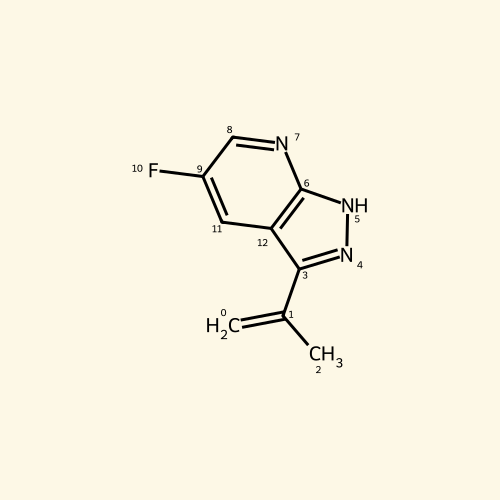 C=C(C)c1n[nH]c2ncc(F)cc12